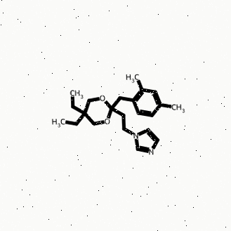 CCC1(CC)COC(CCn2ccnc2)(Cc2ccc(C)cc2C)OC1